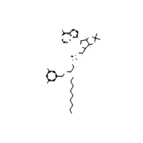 CCCCCCCCCCCCCCCCCC[C@@H](COP(=O)(O)OC[C@@]1(C)O[C@@H](c2ccc3c(N)ncnn23)[C@@H]2OC(C)(C)O[C@@H]21)OCc1cc(F)cc(C#N)c1